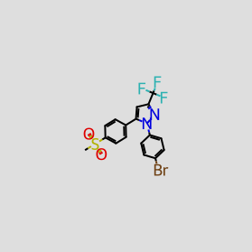 CS(=O)(=O)c1ccc(-c2cc(C(F)(F)F)nn2-c2ccc(Br)cc2)cc1